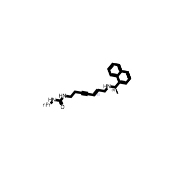 CCCNC(=O)NCCC#C/C=C/CN[C@H](C)c1cccc2ccccc12